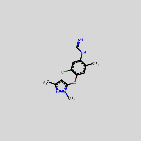 Cc1cc(Oc2cc(C)c(NC=N)cc2Cl)n(C)n1